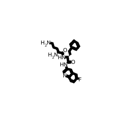 NCCC[C@H](N)C(=O)N[C@H](CCc1ccccc1)C(=O)Nc1cnc2ccc(F)cc2c1